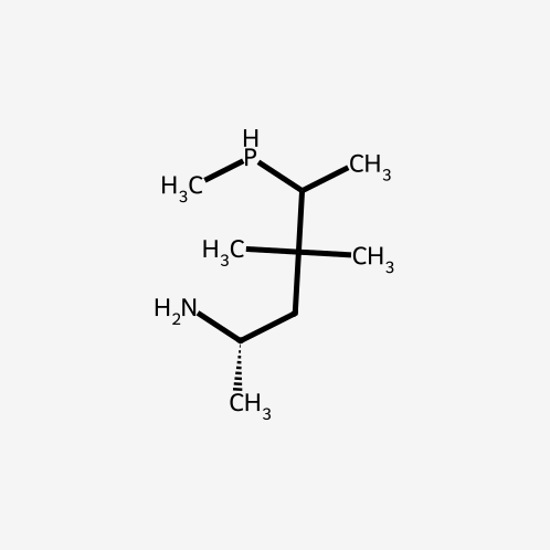 CPC(C)C(C)(C)C[C@H](C)N